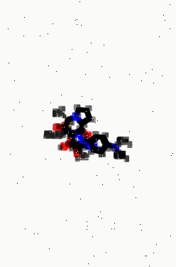 COC(=O)N(C(=O)[C@@H](N)C(C)C)C(=O)[C@@H]1CCCN1[C@H](C(=O)c1nn(-c2ccc(N(C)C)cc2)c(=O)o1)C(C)C